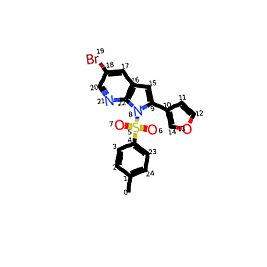 Cc1ccc(S(=O)(=O)n2c(-c3ccoc3)cc3cc(Br)cnc32)cc1